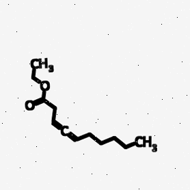 CCCCCC=C=CCC(=O)OCC